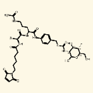 CC(C)C(NC(=O)CCCCCN1C(=O)C=CC1=O)C(=O)NC(CCCNC(N)=O)C(=O)Nc1ccc(COC(=O)N[C@H]2C(O)O[C@H](CO)[C@@H](F)[C@@H]2O)cc1